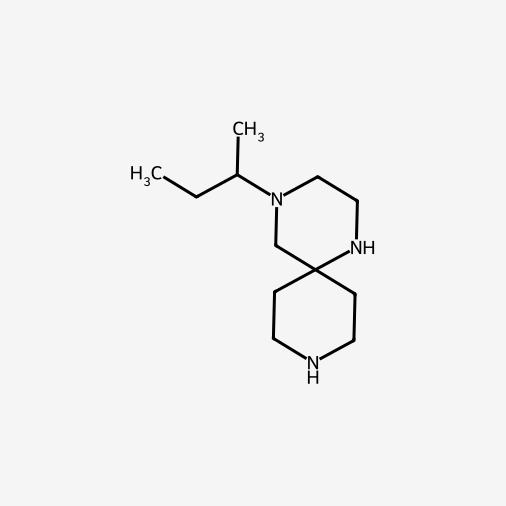 CCC(C)N1CCNC2(CCNCC2)C1